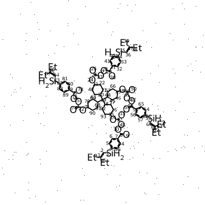 CCC(=C[SiH2]c1ccc(C(=O)OOC(=O)OC2CCC(C(C3CCC(OC(=O)OOC(=O)c4ccc([SiH2]C=C(CC)CC)cc4)CC3)(C3CCC(OC(=O)OOC(=O)c4ccc([SiH2]C=C(CC)CC)cc4)CC3)C3CCC(OC(=O)OOC(=O)c4ccc([SiH2]C=C(CC)CC)cc4)CC3)CC2)cc1)CC